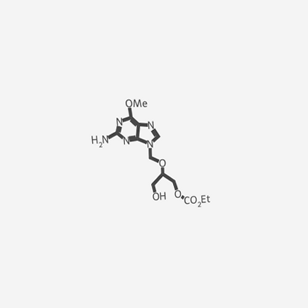 CCOC(=O)OCC(CO)OCn1cnc2c(OC)nc(N)nc21